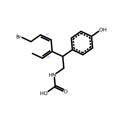 C/C=C(\C=C/CBr)C(CNC(=O)O)c1ccc(O)cc1